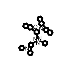 c1ccc(-c2nc(-c3cc(-n4c5cc6ccccc6cc5c5cc6ccccc6cc54)c4oc5cc6ccccc6cc5c4c3)nc(-c3ccc4c(c3)c3ccccc3n4-c3ccccc3)n2)cc1